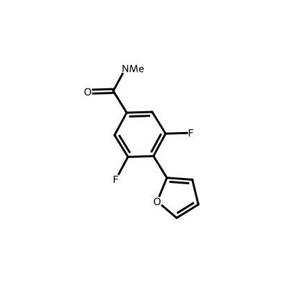 CNC(=O)c1cc(F)c(-c2ccco2)c(F)c1